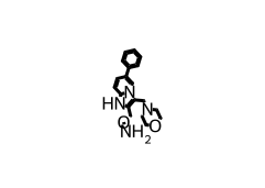 NOCC1=C(CN2CCOCC2)N2C=C(c3ccccc3)C=CC2N1